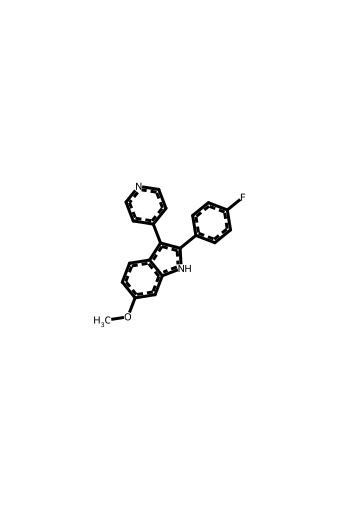 COc1ccc2c(-c3ccncc3)c(-c3ccc(F)cc3)[nH]c2c1